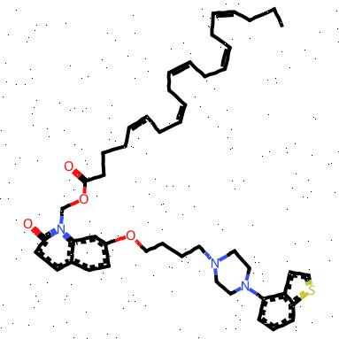 CCC/C=C\C/C=C\C/C=C\C/C=C\C/C=C\CCCC(=O)OCn1c(=O)ccc2ccc(OCCCCN3CCN(c4cccc5sccc45)CC3)cc21